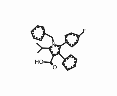 CC(C)c1c(C(=O)O)c(-c2ccccc2)c(-c2ccc(F)cc2)n1Cc1ccccc1